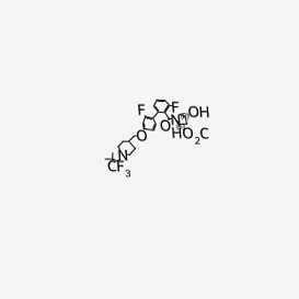 CC(C)(CN1CCC(COc2ccc(-c3cccc(F)c3C(=O)N3C[C@H](O)C[C@H]3C(=O)O)c(F)c2)CC1)C(F)(F)F